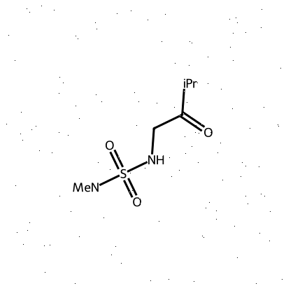 CNS(=O)(=O)NCC(=O)C(C)C